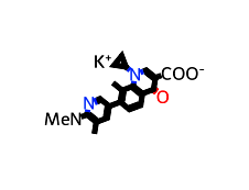 CNc1ncc(-c2ccc3c(=O)c(C(=O)[O-])cn(C4CC4)c3c2C)cc1C.[K+]